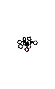 O=C(C1CCCCC1)N1C(c2ccccc2P(C2CCCCC2)C2CCCCC2)=N[C@@H](C2C=CC=CC2)[C@@H]1c1ccccc1